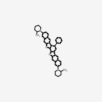 CC1CCCCN1c1ccc2cc3c(cc2c1)oc1c3cc(-c2ccccc2)c2c3cc4ccc(N5CCCCC5C)cc4cc3oc12